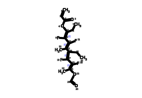 C=CC(=O)O/C(CC)=C(F)/C(F)=C(C)/C(CC)=C(F)/C(F)=C(\C)OC=O